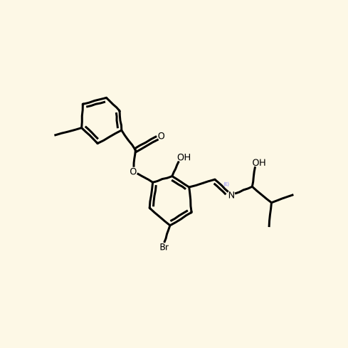 Cc1cccc(C(=O)Oc2cc(Br)cc(/C=N/C(O)C(C)C)c2O)c1